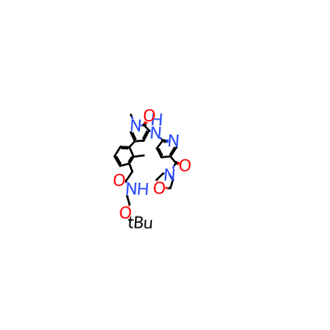 Cc1c(CC(=O)NCCOC(C)(C)C)cccc1-c1cc(Nc2ccc(C(=O)N3CCOCC3)cn2)c(=O)n(C)c1